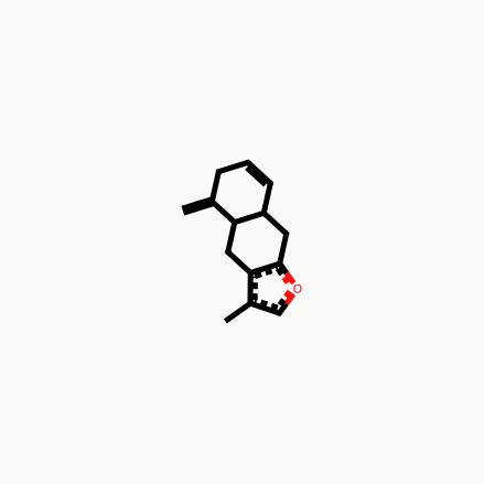 C=C1CC=CC2Cc3occ(C)c3CC12